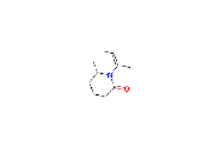 C/C=C(/C)N1C(=O)CCCC1C